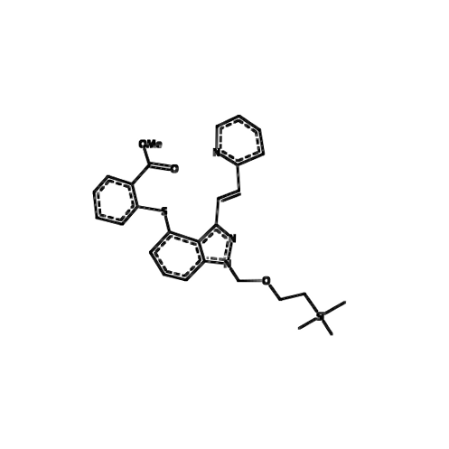 COC(=O)c1ccccc1Sc1cccc2c1c(C=Cc1ccccn1)nn2COCC[Si](C)(C)C